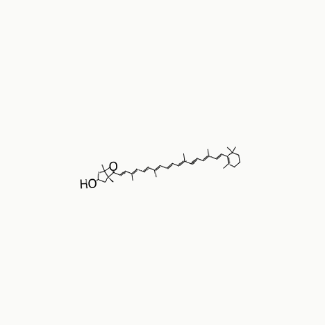 CC1=C(/C=C/C(C)=C/C=C/C(C)=C/C=C/C=C(C)/C=C/C=C(C)/C=C/C(=O)[C@]2(C)C[C@@H](O)CC2(C)C)C(C)(C)CCC1